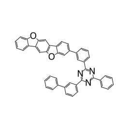 c1ccc(-c2cccc(-c3nc(-c4ccccc4)nc(-c4cccc(-c5ccc6c(c5)oc5cc7c(cc56)oc5ccccc57)c4)n3)c2)cc1